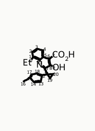 CCc1cccc2c(C(=O)O)c(O)c(C3(c4ccc(C)cc4)CC3)nc12